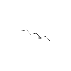 CCCC[Se]CC